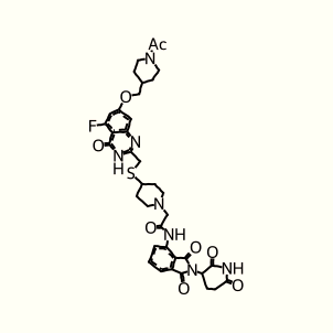 CC(=O)N1CCC(COc2cc(F)c3c(=O)[nH]c(CSC4CCN(CC(=O)Nc5cccc6c5C(=O)N(C5CCC(=O)NC5=O)C6=O)CC4)nc3c2)CC1